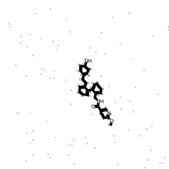 COc1ccc(C(=O)NCc2ccccc2-c2ccccc2/C=C/c2ccc(O)cc2)cn1